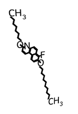 CCCCCCCCCCCCOc1ccc2c(ccc3nc(OCCCCCCCCC)ccc32)c1F